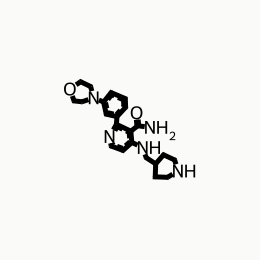 NC(=O)c1c(NCC2CCNCC2)ccnc1-c1cccc(N2CCOCC2)c1